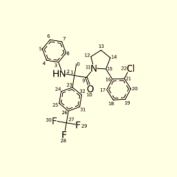 CC(Nc1ccccc1)(C(=O)N1CCCC1c1ccccc1Cl)c1ccc(C(F)(F)F)cc1